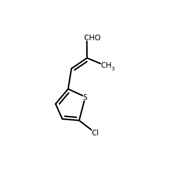 CC(C=O)=Cc1ccc(Cl)s1